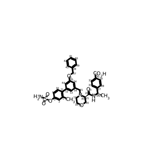 Cc1cc(OS(N)(=O)=O)ccc1-c1cc(CN2CCOC[C@@H]2C(=O)N[C@@H](C)c2ccc(C(=O)O)cc2)cc(OCc2ccccc2)c1